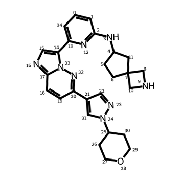 c1cc(NC2CCC3(CNC3)C2)nc(-c2cnc3ccc(-c4cnn(C5CCOCC5)c4)nn23)c1